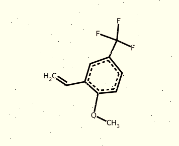 C=[C]c1cc(C(F)(F)F)ccc1OC